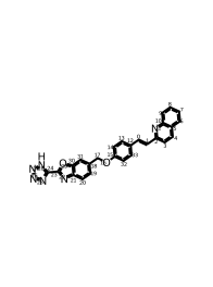 C(=Cc1ccc2ccccc2n1)c1ccc(OCc2ccc3nc(-c4nnn[nH]4)oc3c2)cc1